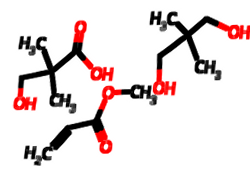 C=CC(=O)OC.CC(C)(CO)C(=O)O.CC(C)(CO)CO